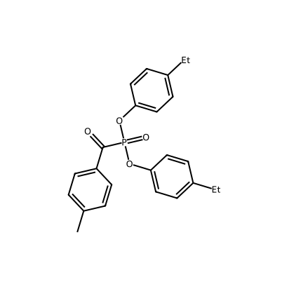 CCc1ccc(OP(=O)(Oc2ccc(CC)cc2)C(=O)c2ccc(C)cc2)cc1